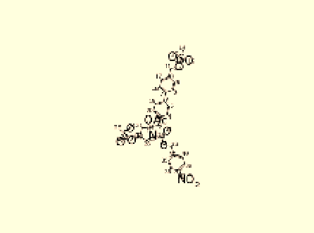 CC(=O)O[C@@]1(Cc2ccc(-c3ccc(COS(C)(=O)=O)cc3)cc2)C[C@@H](OS(C)(=O)=O)CN1C(=O)OCc1ccc([N+](=O)[O-])cc1